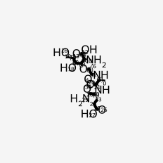 C[C@H](NC(=O)[C@@H](C)O[C@@H]1[C@@H](N)[C@H](O)O[C@H](CO)[C@H]1O)C(=O)N[C@H](CCC(=O)O)C(N)=O